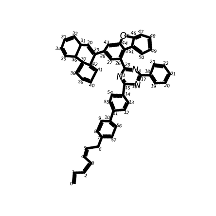 C=C/C=C\C=C/Cc1ccc(-c2ccc(-c3nc(-c4ccccc4)nc(-c4cc(C5=CC6C=CC=CC6c6ccccc65)cc5oc6ccccc6c45)n3)cc2)cc1